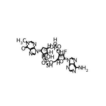 Cn1cnc2c(ncn2[C@@H]2C[C@@H]3OP(=O)(O)O[C@H]4[C@@H](F)[C@H](n5cnc6c(N)ncnc65)O[C@@H]4COP(=O)(S)O[C@@H]2[C@@H]3O)c1=O